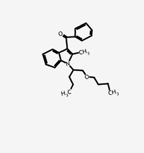 CCCCOCC(CCC)n1c(C)c(C(=O)c2ccccc2)c2ccccc21